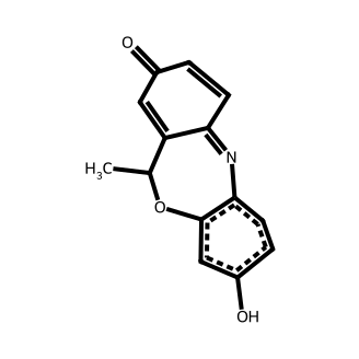 CC1Oc2cc(O)ccc2N=C2C=CC(=O)C=C21